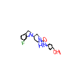 O=C(Nc1ccc(CO)cc1)N1CCC(N2CCc3ccc(F)cc32)CC1